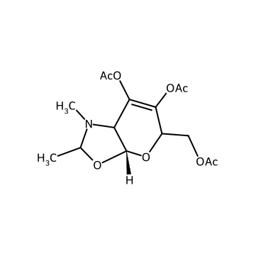 CC(=O)OCC1O[C@@H]2OC(C)N(C)C2C(OC(C)=O)=C1OC(C)=O